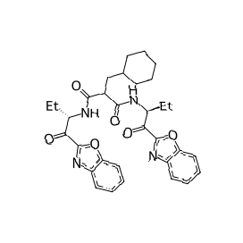 CC[C@H](NC(=O)C(CC1CCCCC1)C(=O)N[C@@H](CC)C(=O)c1nc2ccccc2o1)C(=O)c1nc2ccccc2o1